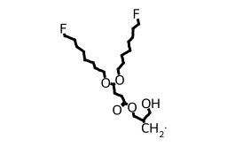 [CH2]C(CO)COC(=O)CCC(OCCCCCCCCF)OCCCCCCCCF